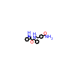 C[C@H](Cc1ccc(C(N)=O)cc1)N[C@H](C(=O)c1c[nH]c2ccccc12)c1ccccc1